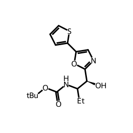 CCC(NC(=O)OC(C)(C)C)[C@H](O)c1ncc(-c2cccs2)o1